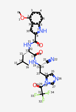 COc1cccc2[nH]c(C(=O)N[C@@H](CC(C)C)C(=O)N[C@H](C#N)Cc3cncn3C(=O)C(F)(F)F)cc12